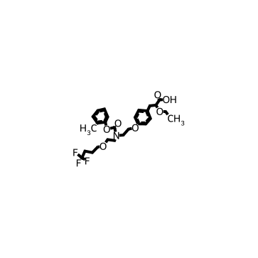 CCOC(Cc1ccc(OCCN(CCOCCCC(F)(F)F)C(=O)Oc2ccccc2C)cc1)C(=O)O